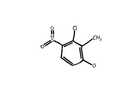 Cc1c(Cl)ccc([SH](=O)=O)c1Cl